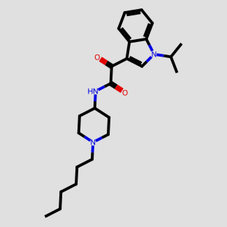 CCCCCCN1CCC(NC(=O)C(=O)c2cn(C(C)C)c3ccccc23)CC1